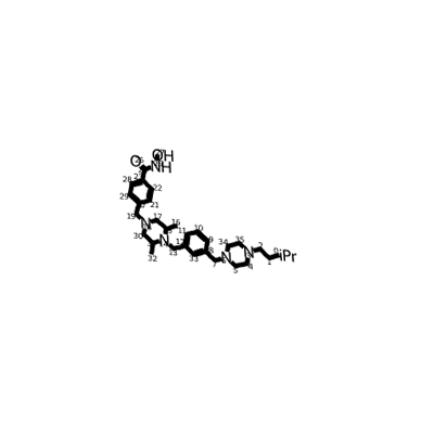 CC(C)CCN1CCN(Cc2cccc(CN3C(C)CN(Cc4ccc(C(=O)NO)cc4)CC3C)c2)CC1